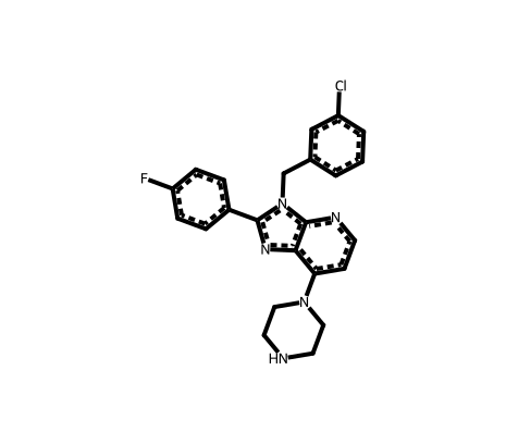 Fc1ccc(-c2nc3c(N4CCNCC4)ccnc3n2Cc2cccc(Cl)c2)cc1